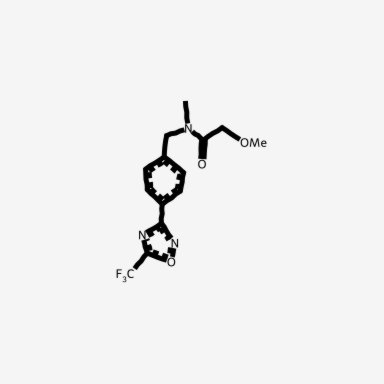 COCC(=O)N(C)Cc1ccc(-c2noc(C(F)(F)F)n2)cc1